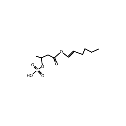 CCCCC=COC(=O)CC(C)OS(=O)(=O)O